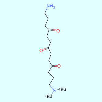 CC(C)(C)N(CCCC(=O)CCC(=O)CCC(=O)CCCN)C(C)(C)C